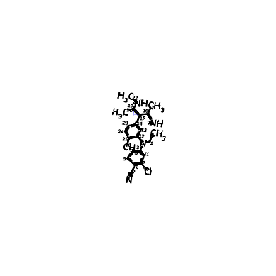 CCN(c1ccc(C#N)c(Cl)c1)c1cc(/C(C(C)=N)=C(\C)NC)ccc1C